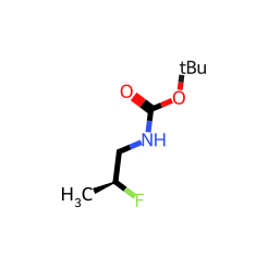 C[C@H](F)CNC(=O)OC(C)(C)C